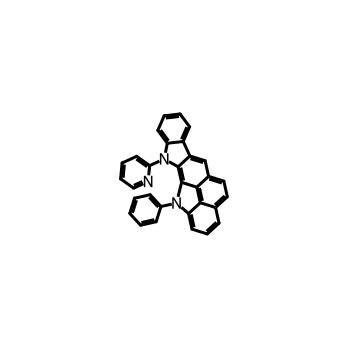 c1ccc(-n2c3cccc4ccc5cc6c7ccccc7n(-c7ccccn7)c6c2c5c43)cc1